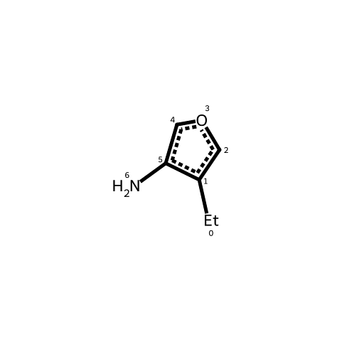 CCc1cocc1N